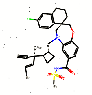 C#C[C@@](/C=C/CC)(OC)[C@@H]1CC[C@H]1CN1C[C@@]2(CCCc3cc(Cl)ccc32)COc2ccc(C(=O)NS(=O)(=O)C(C)C)cc21